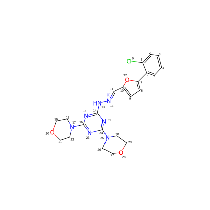 Clc1ccccc1-c1ccc(/C=N/Nc2nc(N3CCOCC3)nc(N3CCOCC3)n2)o1